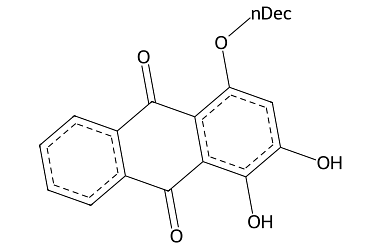 CCCCCCCCCCOc1cc(O)c(O)c2c1C(=O)c1ccccc1C2=O